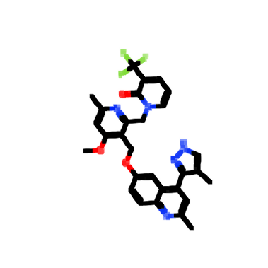 COc1cc(C)nc(Cn2cccc(C(F)(F)F)c2=O)c1COc1ccc2nc(C)cc(-c3n[nH]cc3C)c2c1